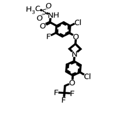 CS(=O)(=O)NC(=O)c1cc(Cl)c(OC2CN(c3ccc(OCC(F)(F)F)c(Cl)c3)C2)cc1F